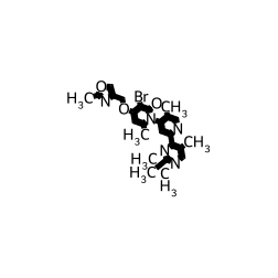 Cc1nc(COc2cc(C)n(-c3cc(-c4nc(C(C)(C)C)ncc4C)ncc3C)c(=O)c2Br)co1